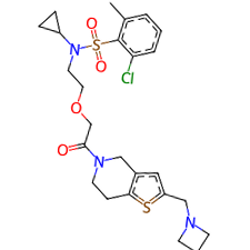 Cc1cccc(Cl)c1S(=O)(=O)N(CCOCC(=O)N1CCc2sc(CN3CCC3)cc2C1)C1CC1